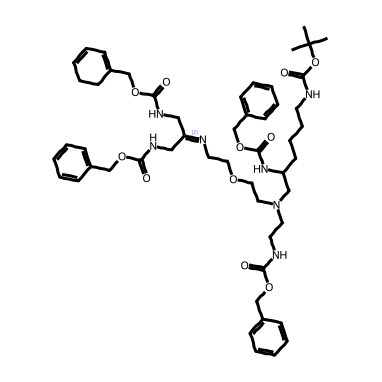 CC(C)(C)OC(=O)NCCCCC(CN(CCNC(=O)OCc1ccccc1)CCOCC/N=C(/CNC(=O)OCC1=CC=CCC1)CNC(=O)OCc1ccccc1)NC(=O)OCc1ccccc1